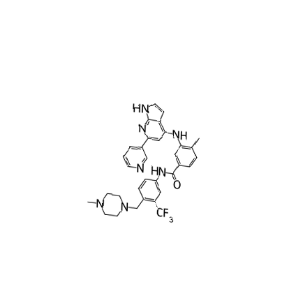 Cc1ccc(C(=O)Nc2ccc(CN3CCN(C)CC3)c(C(F)(F)F)c2)cc1Nc1cc(-c2cccnc2)nc2[nH]ccc12